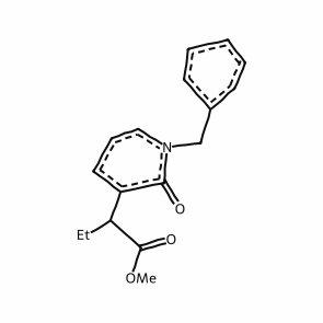 CCC(C(=O)OC)c1cccn(Cc2ccccc2)c1=O